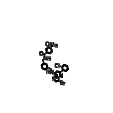 COc1cccc(C(=O)NCc2cccc(CNc3cc(-c4ccccc4Cl)nc4c(Br)cnn34)c2)c1